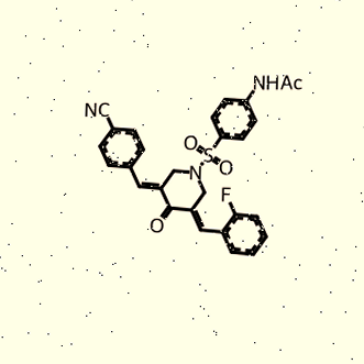 CC(=O)Nc1ccc(S(=O)(=O)N2CC(=Cc3ccc(C#N)cc3)C(=O)C(=Cc3ccccc3F)C2)cc1